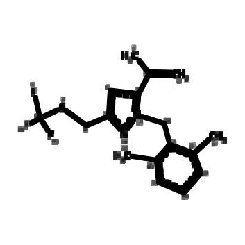 C=C(C)c1cc(CSC(F)(F)F)nn1Cc1c(C)cccc1C